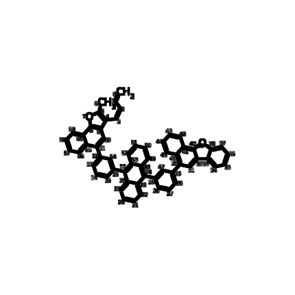 C=C/C=C\c1c(C)oc2c1cc(-c1cccc(-c3c4ccccc4c(-c4cccc(-c5cc6c7ccccc7oc6c6ccccc56)c4)c4ccccc34)c1)c1ccccc12